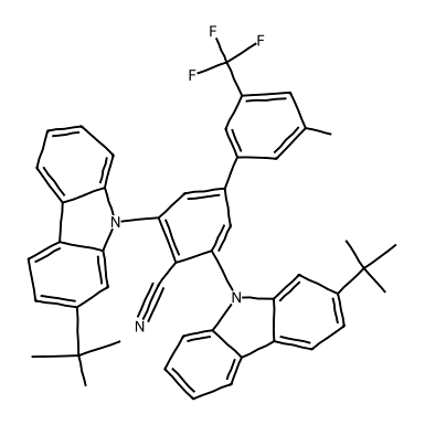 Cc1cc(-c2cc(-n3c4ccccc4c4ccc(C(C)(C)C)cc43)c(C#N)c(-n3c4ccccc4c4ccc(C(C)(C)C)cc43)c2)cc(C(F)(F)F)c1